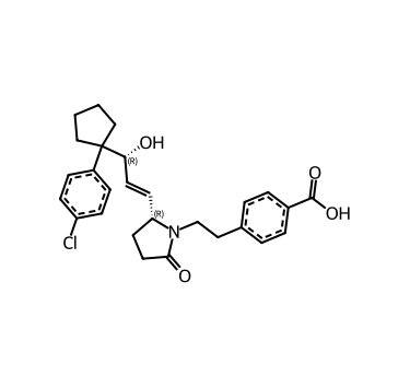 O=C(O)c1ccc(CCN2C(=O)CC[C@@H]2C=C[C@@H](O)C2(c3ccc(Cl)cc3)CCCC2)cc1